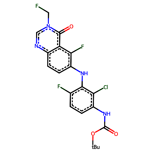 CC(C)(C)OC(=O)Nc1ccc(F)c(Nc2ccc3ncn(CF)c(=O)c3c2F)c1Cl